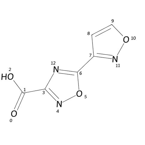 O=C(O)c1noc(-c2ccon2)n1